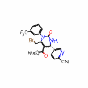 COC(=O)C1=C(CBr)N(c2cccc(C(F)(F)F)c2)C(=O)N[C@@H]1c1ccc(C#N)nc1